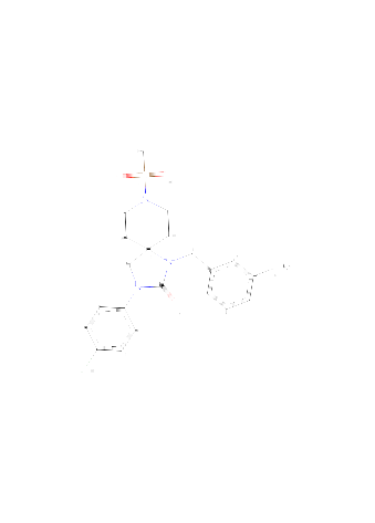 COc1cccc(CN2C(=O)N(c3ccc(Br)cc3)CC23CCN(S(C)(=O)=O)CC3)c1